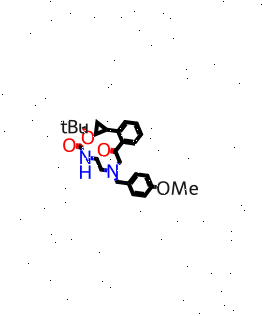 COc1ccc(CN(CCNC(=O)OC(C)(C)C)CC(=O)c2ccccc2C2CC2)cc1